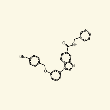 CC(C)(C)c1ccc(COc2cccc(-n3cnc4cc(C(=O)NCc5cccnc5)ccc43)c2)cc1